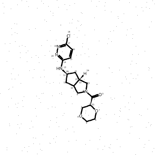 O=C([C@@H]1COCCO1)N1CC2C[C@@H](Nc3ccc(Cl)nn3)C[C@@H]2C1